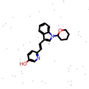 Oc1ccc(/C=C/c2cn(C3CCCCO3)c3ccccc23)nc1